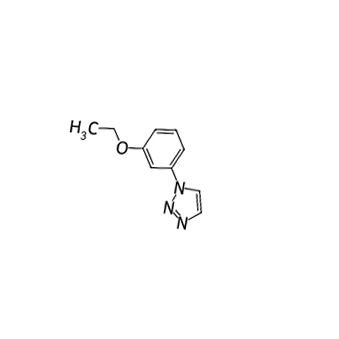 CCOc1cccc(-n2ccnn2)c1